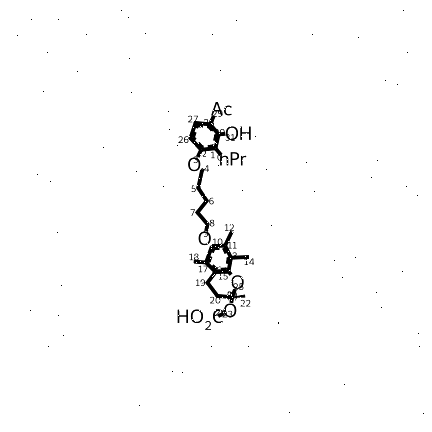 CCCc1c(OCCCCCOc2c(C)c(C)c3c(c2C)CC[C@@](C)(OC(=O)O)O3)ccc(C(C)=O)c1O